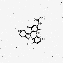 Cc1cccc(C)c1-n1nc2c(c1-c1cc(F)c(NC(N)=O)cc1F)CNCC2.Cl